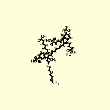 COCCOCCOCCC1(C)C(/C=C/C=C/C=C/C=C2/N(CCCS(=O)(=O)O)c3ccc(S(=O)(=O)[O-])cc3C2(C)CCCS(=O)(=O)O)=[N+](CCCCCC(=O)O)c2ccc(S(=O)(=O)O)cc21